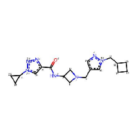 O=C(NC1CN(Cc2cnn(CC3CCC3)c2)C1)c1cn(C2CC2)nn1